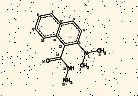 CN(C)c1ccc2ccccc2c1C(=O)NN